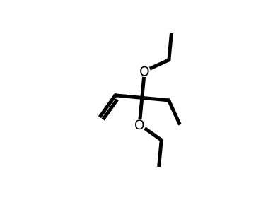 C=CC(CC)(OCC)OCC